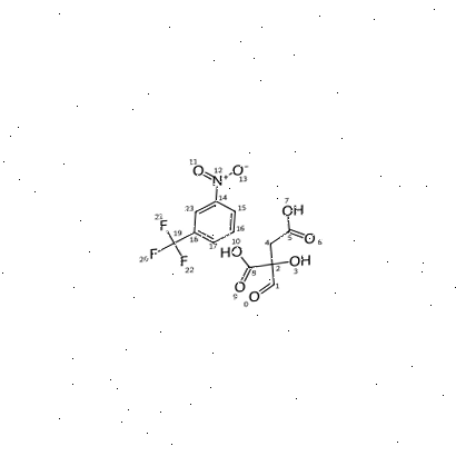 O=CC(O)(CC(=O)O)C(=O)O.O=[N+]([O-])c1cccc(C(F)(F)F)c1